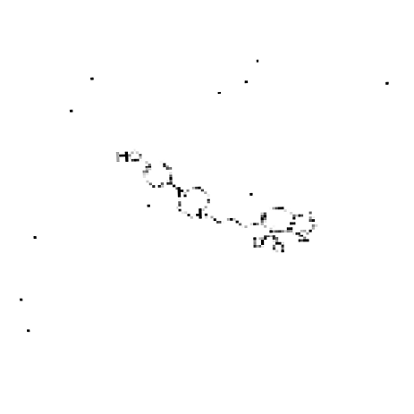 O=S1(=O)C(CCCN2CCN(c3ccc(O)cc3)CC2)=CCc2ccsc21